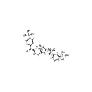 O=C(c1ccc(C(F)(F)F)cc1)N1CCN2C[C@@H](NS(=O)(=O)c3cccc(C(F)(F)F)c3)C[C@H]2C1